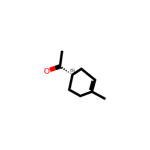 CC(=O)[C@@H]1CC=C(C)CC1